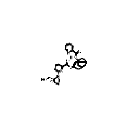 O=C(NC12CC3CC(C1)CC(NC(=O)c1cccc(N4CCC[C@H]4CO)n1)(C3)C2)c1ccccn1